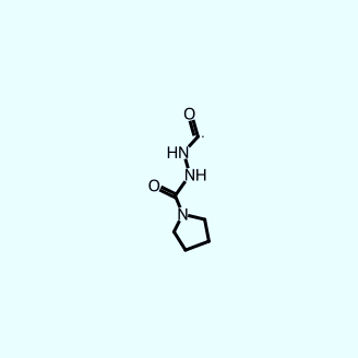 O=[C]NNC(=O)N1CCCC1